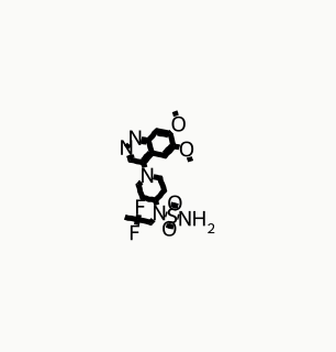 COc1cc2nncc(N3CCC(N(CC(C)(F)F)S(N)(=O)=O)CC3)c2cc1OC